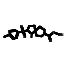 Cc1ccc(S(=O)(=O)C2COC3(CCN(C(=O)OC(C)(C)C)CC3)N2)cc1